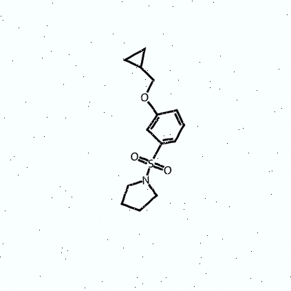 O=S(=O)(c1cccc(OCC2CC2)c1)N1CCCC1